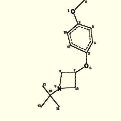 COc1ccc(OC2CN(C(C)(C)C)C2)cc1